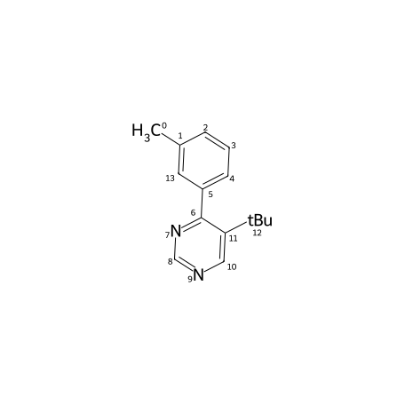 Cc1cccc(-c2ncncc2C(C)(C)C)c1